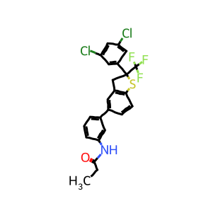 CCC(=O)Nc1cccc(-c2ccc3c(c2)CC(c2cc(Cl)cc(Cl)c2)(C(F)(F)F)S3)c1